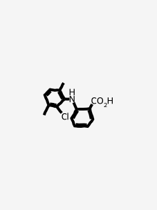 Cc1ccc(C)c(Nc2ccccc2C(=O)O)c1Cl